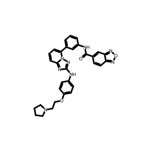 O=C(Nc1cccc(-c2cccc3nc(Nc4ccc(OCCN5CCCC5)cc4)nn23)c1)c1ccc2nonc2c1